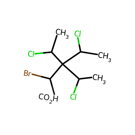 CC(Cl)C(C(C)Cl)(C(C)Cl)C(Br)C(=O)O